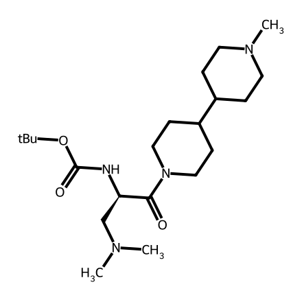 CN(C)C[C@@H](NC(=O)OC(C)(C)C)C(=O)N1CCC(C2CCN(C)CC2)CC1